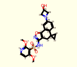 COc1ccnc(OC)c1S(=O)(=O)Nc1noc2c1CC1(CC1)c1ccc(N3CC(O)C3)cc1-2